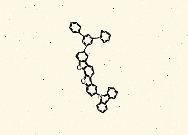 c1ccc(-c2cc(-c3ccccc3)cc(-c3ccc4oc5c(ccc6c7cc(-n8c9ccccc9c9ccccc98)ccc7oc65)c4c3)c2)cc1